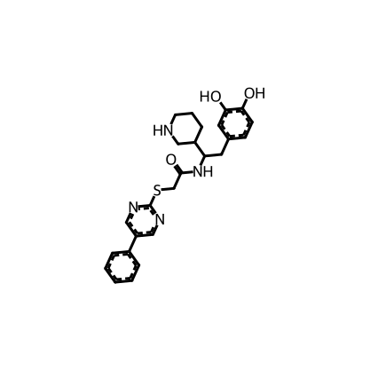 O=C(CSc1ncc(-c2ccccc2)cn1)NC(Cc1ccc(O)c(O)c1)C1CCCNC1